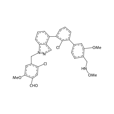 CONCc1ccc(-c2cccc(-c3cccc4c3cnn4Cc3cc(OC)c(C=O)cc3Cl)c2Cl)cc1OC